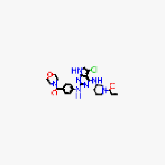 C=CC(=O)N1CCCC(Nc2nc(Nc3ccc(C(=O)N4CCOCC4)cc3)nc3[nH]cc(Cl)c23)C1